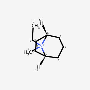 CC[N+]1(C)[C@@H]2CCC[C@H]1CC2